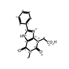 Cn1c(=O)c2[nH]c(-c3ccccc3)nc2n(CC(=O)O)c1=O